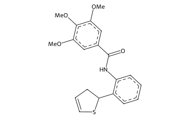 COc1cc(C(=O)Nc2ccccc2C2CC=CS2)cc(OC)c1OC